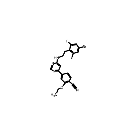 CCOc1cc(-c2cc(NCCc3c(F)cc(Br)cc3F)ncn2)ccc1C#N